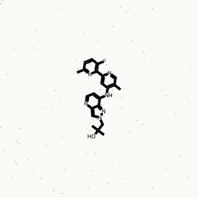 Cc1ccc(F)c(-c2cc(Nc3ccnc4cn(CC(C)(C)O)nc34)c(C)cn2)n1